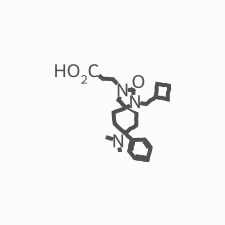 CN(C)[C@]1(c2ccccc2)CC[C@@]2(CC1)CN(CCC(=O)O)C(=O)N2CC1CCC1